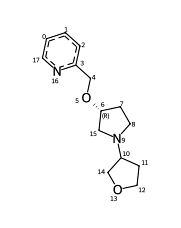 c1ccc(CO[C@@H]2CCN(C3CCOC3)C2)nc1